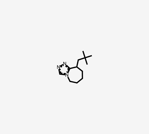 CC(C)(C)CC1CCCCn2cnnc21